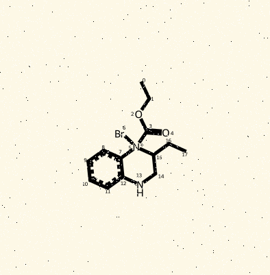 CCOC(=O)[N+]1(Br)c2ccccc2NCC1CC